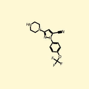 N#Cc1cc(N2CCNCC2)nn1-c1ccc(OC(F)(F)F)cc1